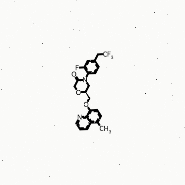 Cc1ccc(OC[C@@H]2CN(c3ccc(CC(F)(F)F)cc3F)C(=O)CO2)c2ncccc12